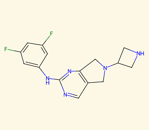 Fc1cc(F)cc(Nc2ncc3c(n2)CN(C2CNC2)C3)c1